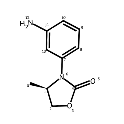 C[C@@H]1COC(=O)N1c1cccc(N)c1